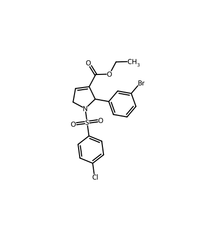 CCOC(=O)C1=CCN(S(=O)(=O)c2ccc(Cl)cc2)C1c1cccc(Br)c1